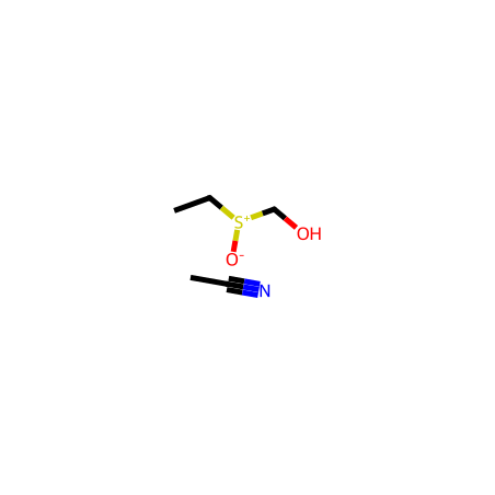 CC#N.CC[S+]([O-])CO